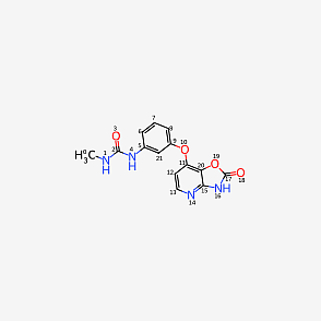 CNC(=O)Nc1cccc(Oc2ccnc3[nH]c(=O)oc23)c1